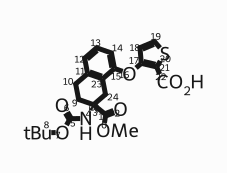 COC(=O)[C@@]1(NC(=O)OC(C)(C)C)CCc2cccc(Oc3ccsc3C(=O)O)c2C1